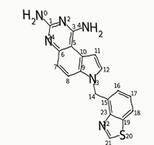 Nc1nc(N)c2c(ccc3c2ccn3Cc2cccc3scnc23)n1